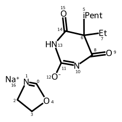 C1=NCCO1.CCCC(C)C1(CC)C(=O)N=C([O-])NC1=O.[Na+]